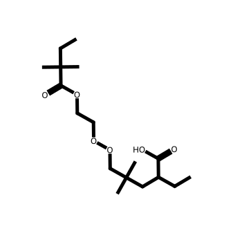 CCC(CC(C)(C)COOCCOC(=O)C(C)(C)CC)C(=O)O